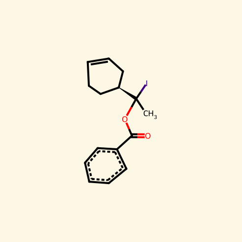 CC(I)(OC(=O)c1ccccc1)[C@@H]1CC=CCC1